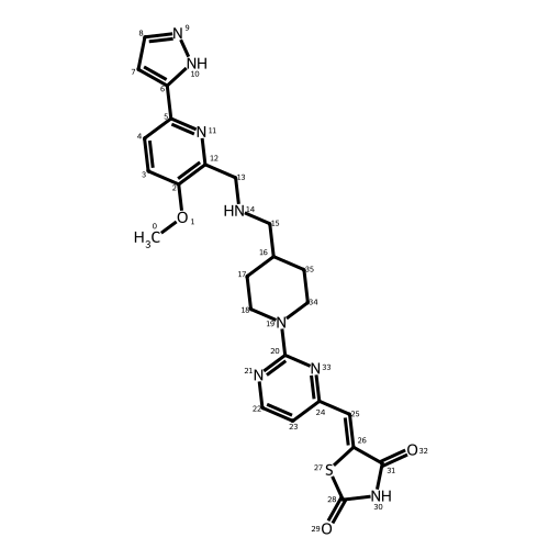 COc1ccc(-c2ccn[nH]2)nc1CNCC1CCN(c2nccc(/C=C3\SC(=O)NC3=O)n2)CC1